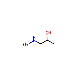 [CH2]CCNCC(C)O